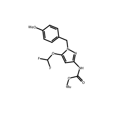 COc1ccc(Cn2nc(NC(=O)OC(C)(C)C)cc2OC(F)F)cc1